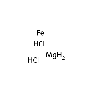 Cl.Cl.[Fe].[MgH2]